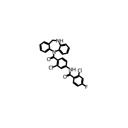 O=C(Nc1ccc(C(=O)N2c3ccccc3CNc3ccccc32)c(Cl)c1)c1ccc(F)cc1Cl